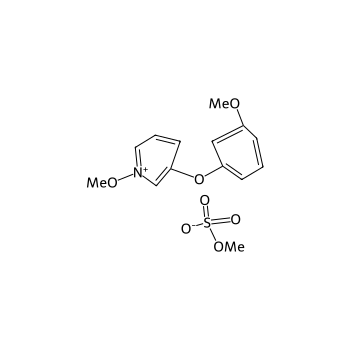 COS(=O)(=O)[O-].COc1cccc(Oc2ccc[n+](OC)c2)c1